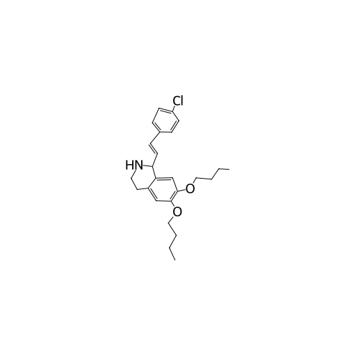 CCCCOc1cc2c(cc1OCCCC)C(C=Cc1ccc(Cl)cc1)NCC2